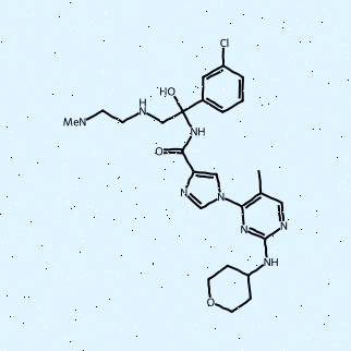 CNCCNCC(O)(NC(=O)c1cn(-c2nc(NC3CCOCC3)ncc2C)cn1)c1cccc(Cl)c1